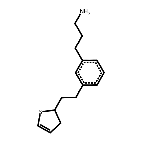 NCCCc1cccc(CCC2CC=CS2)c1